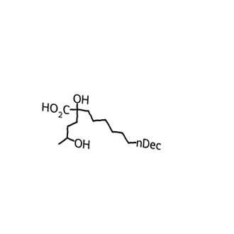 CCCCCCCCCCCCCCCCC(O)(CCC(C)O)C(=O)O